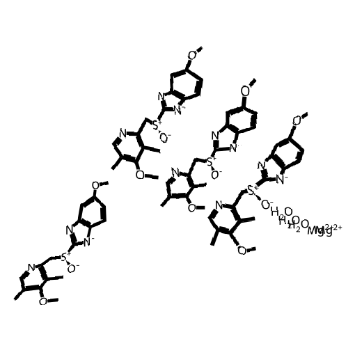 COc1ccc2[n-]c([S@@+]([O-])Cc3ncc(C)c(OC)c3C)nc2c1.COc1ccc2[n-]c([S@@+]([O-])Cc3ncc(C)c(OC)c3C)nc2c1.COc1ccc2[n-]c([S@@+]([O-])Cc3ncc(C)c(OC)c3C)nc2c1.COc1ccc2[n-]c([S@@+]([O-])Cc3ncc(C)c(OC)c3C)nc2c1.O.O.O.[Mg+2].[Mg+2]